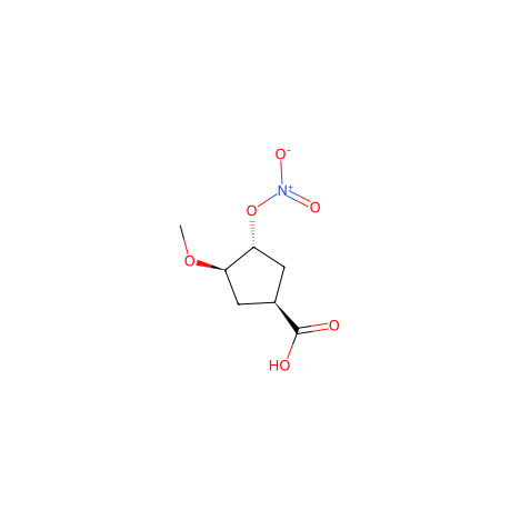 CO[C@@H]1C[C@H](C(=O)O)C[C@H]1O[N+](=O)[O-]